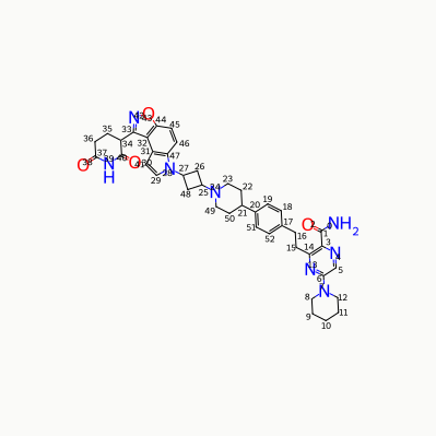 NC(=O)c1ncc(N2CCCCC2)nc1CCc1ccc(C2CCN(C3CC(n4ccc5c6c(C7CCC(=O)NC7=O)noc6ccc54)C3)CC2)cc1